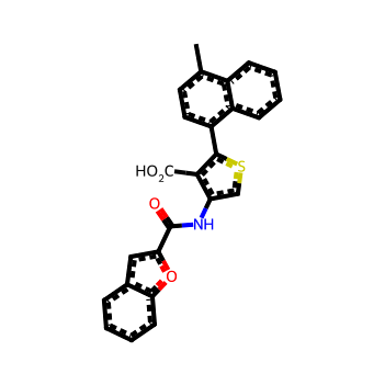 Cc1ccc(-c2scc(NC(=O)c3cc4ccccc4o3)c2C(=O)O)c2ccccc12